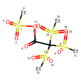 CCS(=O)(=O)OC(=O)C(S(=O)(=O)CC)(S(=O)(=O)CC)S(=O)(=O)CC